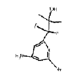 CC(C)c1cc(N)cc(C(F)(F)C(C)(C)O)n1